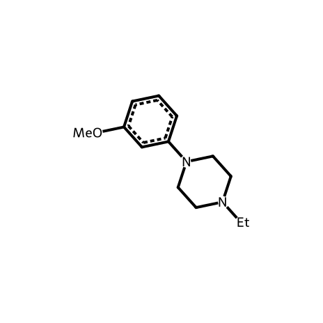 CCN1CCN(c2cccc(OC)c2)CC1